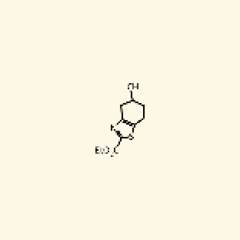 CCOC(=O)c1nc2c(s1)CCC(C)C2